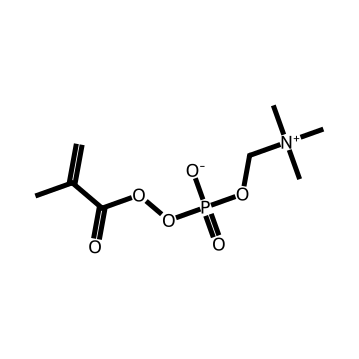 C=C(C)C(=O)OOP(=O)([O-])OC[N+](C)(C)C